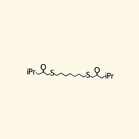 CC(C)CC(=O)CSCCCCCCCSCC(=O)CC(C)C